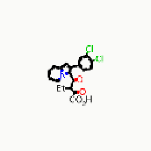 CCC(C(=O)C(=O)O)C(=O)c1c(-c2ccc(Cl)c(Cl)c2)cc2ccccn12